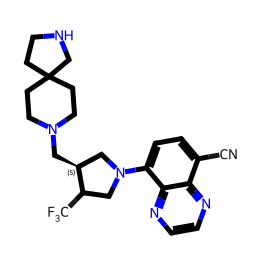 N#Cc1ccc(N2CC(C(F)(F)F)[C@@H](CN3CCC4(CCNC4)CC3)C2)c2nccnc12